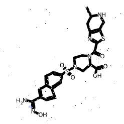 CC1Cc2nc(C(=O)N3CCN(S(=O)(=O)c4ccc5cc(/C(N)=N\O)ccc5c4)CC3C(=O)O)sc2CN1